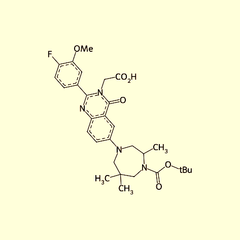 COc1cc(-c2nc3ccc(N4CC(C)N(C(=O)OC(C)(C)C)CC(C)(C)C4)cc3c(=O)n2CC(=O)O)ccc1F